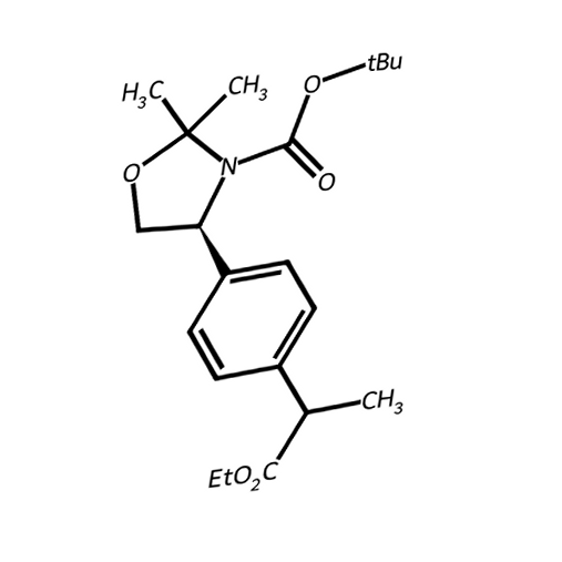 CCOC(=O)C(C)c1ccc([C@H]2COC(C)(C)N2C(=O)OC(C)(C)C)cc1